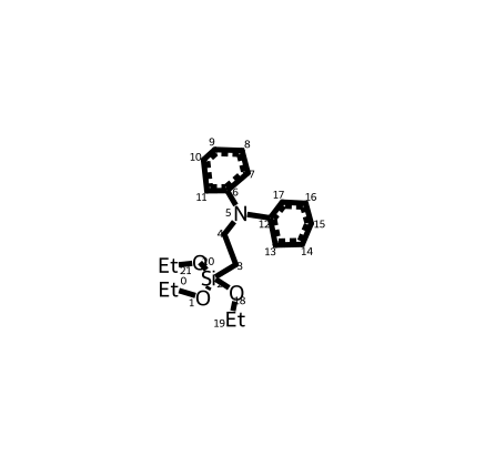 CCO[Si](CCN(c1ccccc1)c1ccccc1)(OCC)OCC